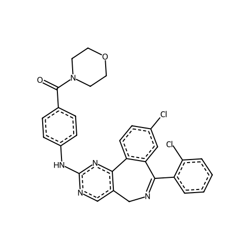 O=C(c1ccc(Nc2ncc3c(n2)-c2ccc(Cl)cc2C(c2ccccc2Cl)=NC3)cc1)N1CCOCC1